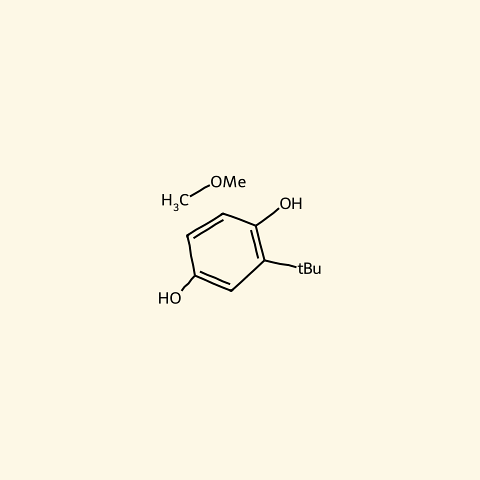 CC(C)(C)c1cc(O)ccc1O.COC